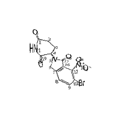 O=C1CCC(N2Cc3ccc(Br)c([N+](=O)[O-])c3C2=O)C(=O)N1